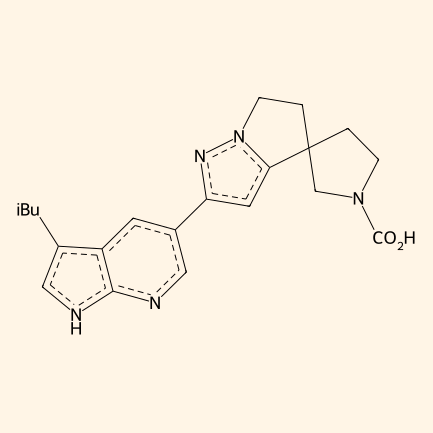 CCC(C)c1c[nH]c2ncc(-c3cc4n(n3)CCC43CCN(C(=O)O)C3)cc12